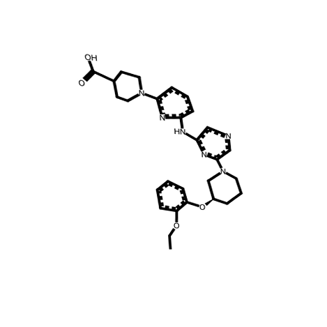 CCOc1ccccc1O[C@@H]1CCCN(c2cncc(Nc3cccc(N4CCC(C(=O)O)CC4)n3)n2)C1